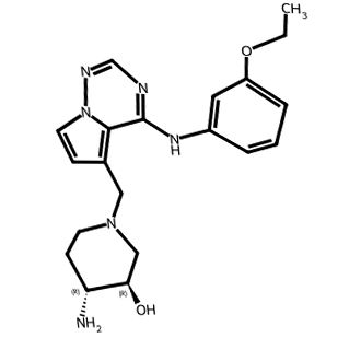 CCOc1cccc(Nc2ncnn3ccc(CN4CC[C@@H](N)[C@H](O)C4)c23)c1